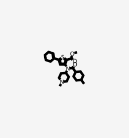 COC(=O)c1sc(C2=CCCCC2)cc1N(C(=O)C1CCC(C)CC1)C1CCN(C)CC1